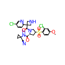 COc1ccc(S(=O)(=O)C2C[C@@H](C(=O)NC3(C#N)CC3)N(C(=O)C3(c4ccc(Cl)cn4)CNC3)C2)c(Cl)c1